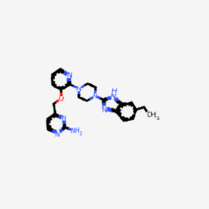 CCc1ccc2nc(N3CCN(c4ncccc4OCc4ccnc(N)n4)CC3)[nH]c2c1